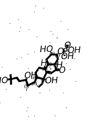 C[C@H](C(O)CCC(C)(C)O)[C@H]1CC[C@@]2(O)C3=CC(=O)[C@@H]4C[C@@H](OP(=O)(O)O)[C@@H](O)C[C@]4(C)[C@H]3CC[C@]12C